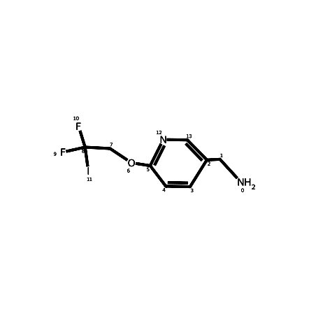 NCc1ccc(OCC(F)(F)I)nc1